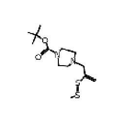 C=C(CN1CCN(C(=O)OC(C)(C)C)CC1)SSC